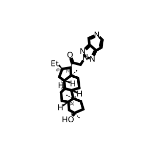 CC[C@@H]1C[C@H]2[C@@H]3CC[C@H]4C[C@](C)(O)CC[C@]4(C)[C@H]3CC[C@]2(C)[C@H]1C(=O)Cn1nc2ccncc2n1